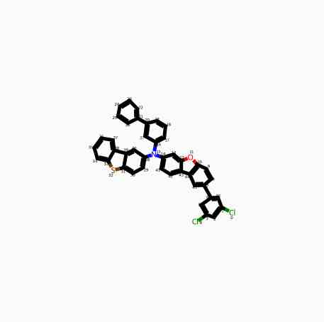 Clc1cc(Cl)cc(-c2ccc3oc4cc(N(c5cccc(-c6ccccc6)c5)c5ccc6sc7ccccc7c6c5)ccc4c3c2)c1